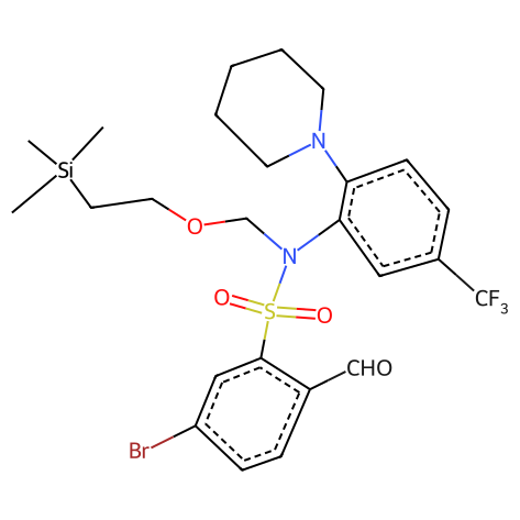 C[Si](C)(C)CCOCN(c1cc(C(F)(F)F)ccc1N1CCCCC1)S(=O)(=O)c1cc(Br)ccc1C=O